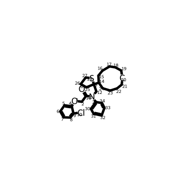 O=C(COc1ccccc1Cl)N(CC1(C2CCCCCCCCCC2)CCCS1)c1ccccc1